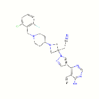 N#CCC1(n2cc(-c3ncnc4[nH]ccc34)cn2)CN(C2CCN(Cc3c(F)cccc3Cl)CC2)C1